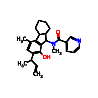 C=CC(C)c1cc(C)c2c(c1O)C(N(C)C(=O)c1cccnc1)C1CCCCC21